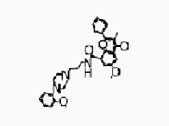 COc1cc(C(=O)NCCCN2CCN(c3ccccc3OC)CC2)c2oc(-c3ccccc3)c(C)c(=O)c2c1